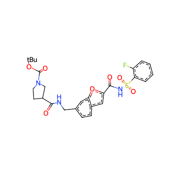 CC(C)(C)OC(=O)N1CCC(C(=O)NCc2ccc3cc(C(=O)NS(=O)(=O)c4ccccc4F)oc3c2)C1